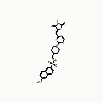 COc1ccc2cc(S(=O)(=O)NCC3CCN(c4nccc(/C=C5\SC(=O)NC5=O)n4)CC3)ccc2c1